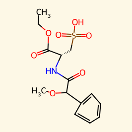 CCOC(=O)[C@H](CS(=O)(=O)O)NC(=O)C(OC)c1ccccc1